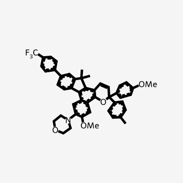 COc1ccc(C2(c3ccc(C)cc3)C=Cc3c4c(c5cc(N6CCOCC6)c(OC)cc5c3O2)-c2ccc(-c3ccc(C(F)(F)F)cc3)cc2C4(C)C)cc1